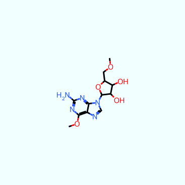 COCC1OC(n2cnc3c(OC)nc(N)nc32)C(O)C1O